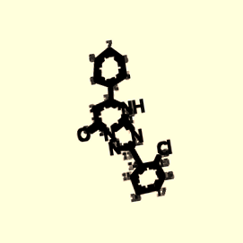 O=c1cc(-c2ccccc2)[nH]c2nc(-c3ccccc3Cl)nn12